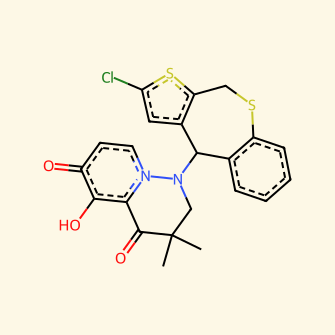 CC1(C)CN(C2c3ccccc3SCc3sc(Cl)cc32)n2ccc(=O)c(O)c2C1=O